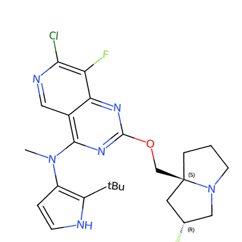 CN(c1cc[nH]c1C(C)(C)C)c1nc(OC[C@@]23CCCN2C[C@H](F)C3)nc2c(F)c(Cl)ncc12